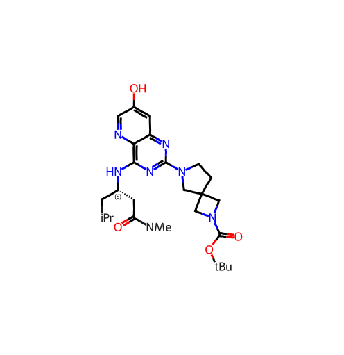 CNC(=O)C[C@H](CC(C)C)Nc1nc(N2CCC3(CN(C(=O)OC(C)(C)C)C3)C2)nc2cc(O)cnc12